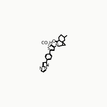 CC1CCC(C(=O)N(CC2CC2)c2cc(-c3ccc(-c4cc5ncccn5n4)cc3)sc2C(=O)O)CC1